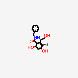 CCc1c(O)cc(O)c(C(=O)NCc2ccccc2)c1CCO